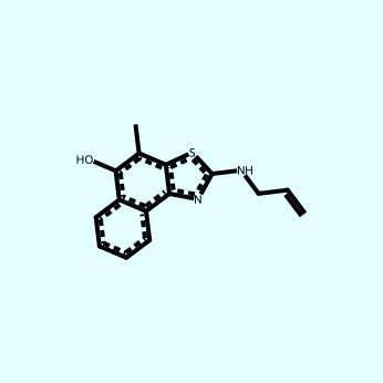 C=CCNc1nc2c(s1)c(C)c(O)c1ccccc12